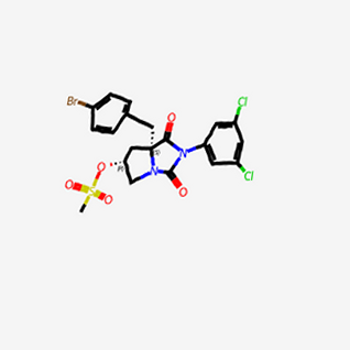 CS(=O)(=O)O[C@H]1CN2C(=O)N(c3cc(Cl)cc(Cl)c3)C(=O)[C@]2(Cc2ccc(Br)cc2)C1